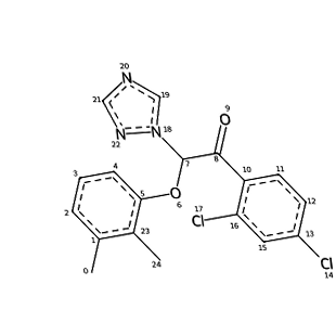 Cc1cccc(OC(C(=O)c2ccc(Cl)cc2Cl)n2cncn2)c1C